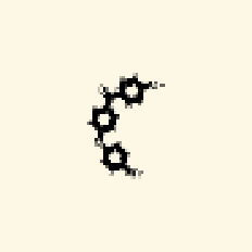 CC(C)c1ccc(Oc2ccc(C(=O)c3ccc(O)cc3)cc2)cc1